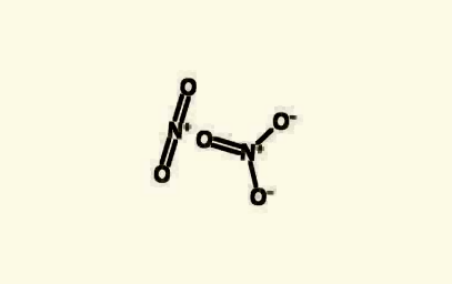 O=[N+]([O-])[O-].O=[N+]=O